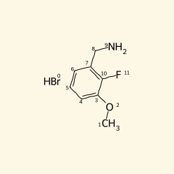 Br.COc1cccc(CN)c1F